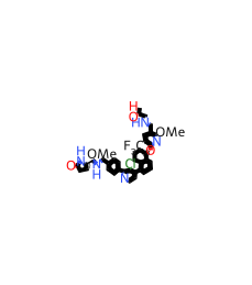 COc1cc(-c2nccc(-c3cccc4c3CCC[C@@H]4Oc3nc(OC)c(CNCC(C)O)cc3C(F)(F)F)c2Cl)ccc1CNC[C@H]1CCC(=O)N1